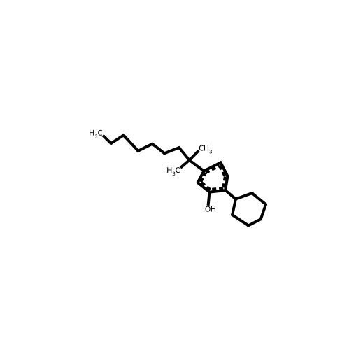 CCCCCCCC(C)(C)c1ccc(C2CCCCC2)c(O)c1